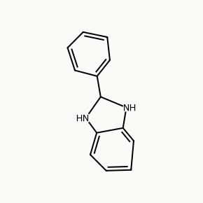 c1ccc(C2Nc3ccccc3N2)cc1